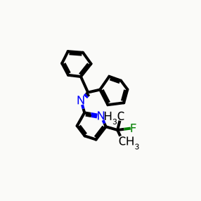 CC(C)(F)c1cccc(N=C(c2ccccc2)c2ccccc2)n1